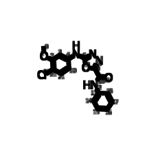 COc1cc(Nc2nnc(C(=O)Nc3ccccc3)o2)ccc1Cl